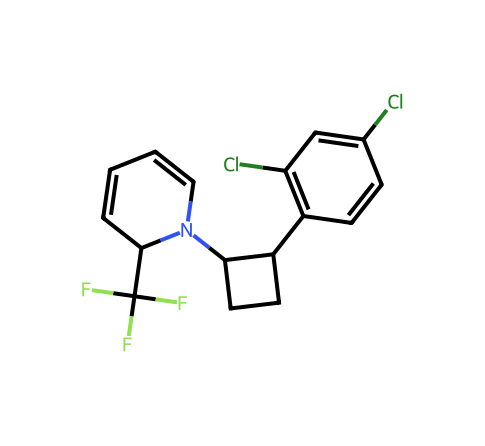 FC(F)(F)C1C=CC=CN1C1CCC1c1ccc(Cl)cc1Cl